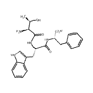 C[C@@H](O)[C@H](N)C(=O)N[C@@H](Cc1c[nH]c2ccccc12)C(=O)N[C@@H](Cc1ccccc1)C(=O)O